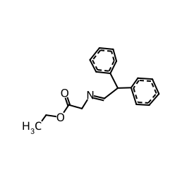 CCOC(=O)CN=CC(c1ccccc1)c1ccccc1